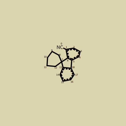 N#Cc1cccc2c1C1(CCCCC1)c1ccccc1-2